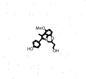 COc1ccc2c3c1c(C)c(-c1ccc(O)cc1)n3CC(CCO)O2